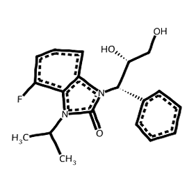 CC(C)n1c(=O)n([C@@H](c2ccccc2)[C@H](O)CO)c2cccc(F)c21